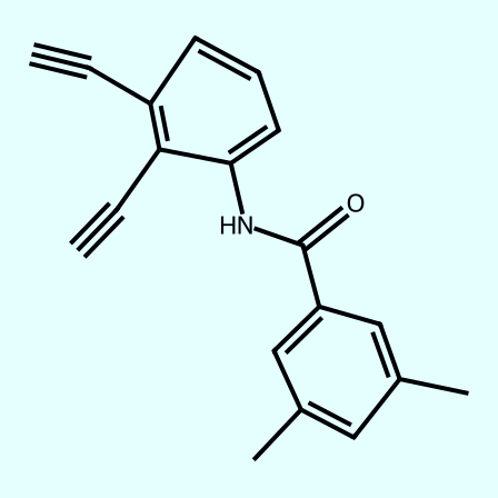 C#Cc1cccc(NC(=O)c2cc(C)cc(C)c2)c1C#C